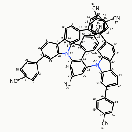 N#Cc1ccc(-c2ccc3c4ccc(-c5ccc(C#N)cc5)cc4n(-c4cc(C#N)cc(-n5c6cc(-c7ccc(C#N)cc7)ccc6c6ccc(-c7ccc(C#N)cc7)cc65)c4-c4ccc(C#N)cc4C(F)(F)F)c3c2)cc1